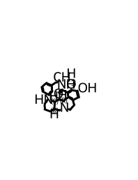 CC(NC(=O)c1c(O)c(O)cc2c1[C@H]1C[C@@H]3NCCC[C@@H]3CN1CC2)c1ccccc1